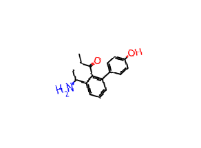 CCC(=O)c1c(-c2ccc(O)cc2)cccc1C(C)N